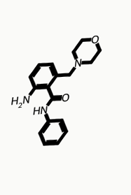 Nc1cccc(CN2CCOCC2)c1C(=O)Nc1ccccc1